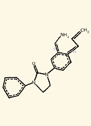 C=C/C=c1/ccc(N2CCN(c3ccccc3)C2=O)c/c1=C/N